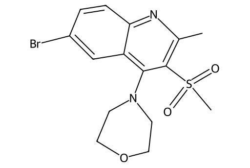 Cc1nc2ccc(Br)cc2c(N2CCOCC2)c1S(C)(=O)=O